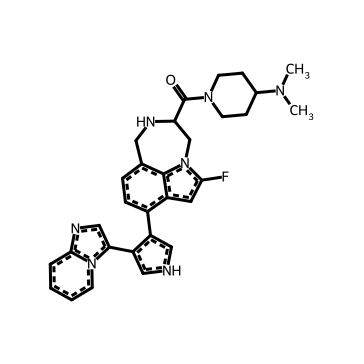 CN(C)C1CCN(C(=O)C2Cn3c(F)cc4c(-c5c[nH]cc5-c5cnc6ccccn56)ccc(c43)CN2)CC1